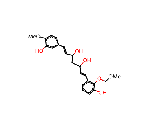 COCOc1c(O)cccc1C=CC(O)CC(O)C=Cc1ccc(OC)c(O)c1